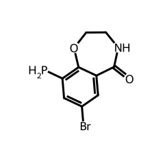 O=C1NCCOc2c(P)cc(Br)cc21